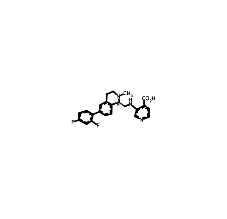 CN1CCc2cc(-c3ccc(F)cc3F)ccc2[C@@H]1CNc1cnccc1C(=O)O